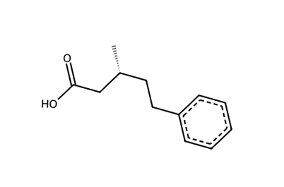 C[C@H](CCc1ccccc1)CC(=O)O